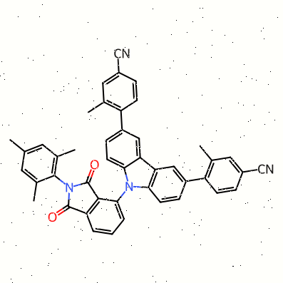 Cc1cc(C)c(N2C(=O)c3cccc(-n4c5ccc(-c6ccc(C#N)cc6C)cc5c5cc(-c6ccc(C#N)cc6C)ccc54)c3C2=O)c(C)c1